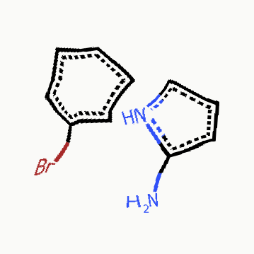 Brc1ccccc1.Nc1ccc[nH]1